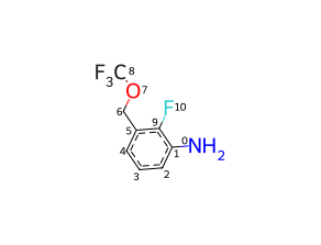 Nc1cccc(COC(F)(F)F)c1F